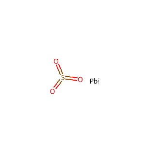 O=S(=O)=O.[Pb]